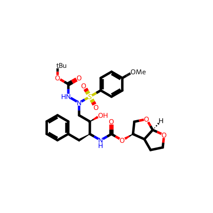 COc1ccc(S(=O)(=O)N(C[C@@H](O)[C@H](Cc2ccccc2)NC(=O)O[C@H]2CO[C@H]3OCCC32)NC(=O)OC(C)(C)C)cc1